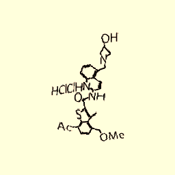 COCc1ccc(C(C)=O)c2sc(C(=O)Nc3ccc4c(CN5CC(O)C5)cccc4n3)c(C)c12.Cl.Cl